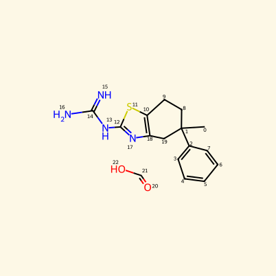 CC1(c2ccccc2)CCc2sc(NC(=N)N)nc2C1.O=CO